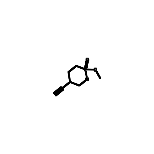 C#CC1CCP(=O)(OC)OC1